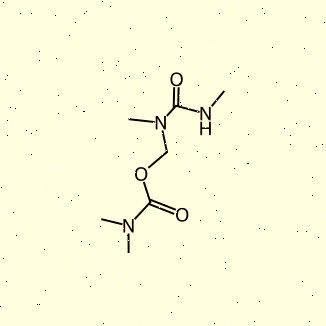 CNC(=O)N(C)COC(=O)N(C)C